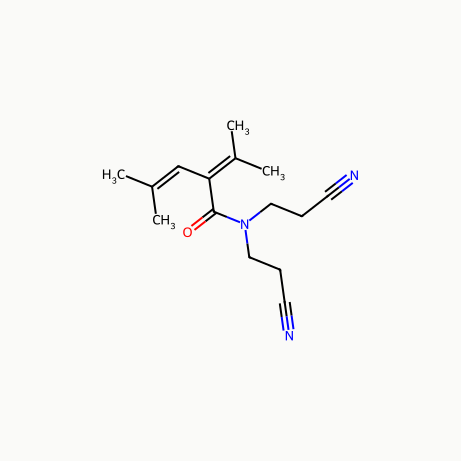 CC(C)=CC(C(=O)N(CCC#N)CCC#N)=C(C)C